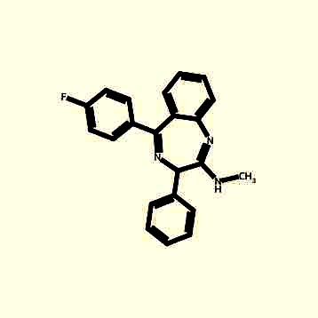 CNC1=Nc2ccccc2C(c2ccc(F)cc2)=NC1c1ccccc1